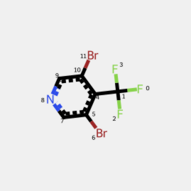 FC(F)(F)c1c(Br)cncc1Br